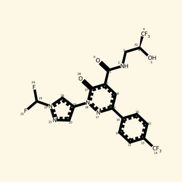 O=C(NC[C@H](O)C(F)(F)F)c1cc(-c2ccc(C(F)(F)F)cc2)nn(-c2cnn(C(F)F)c2)c1=O